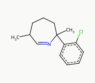 CC1C=NC(C)(c2ccccc2Cl)CCC1